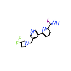 N=C(I)c1cccc(-c2cncc(CN3CCC(F)(F)C3)c2)n1